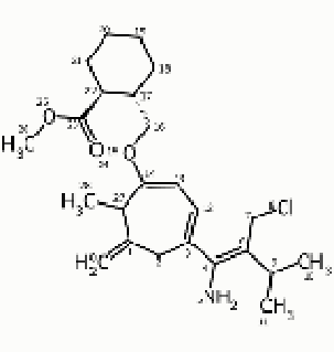 C=C1CC(/C(N)=C(\CCl)C(C)C)=CC=C(OC[C@H]2CCCC[C@@H]2C(=O)OC)C1C